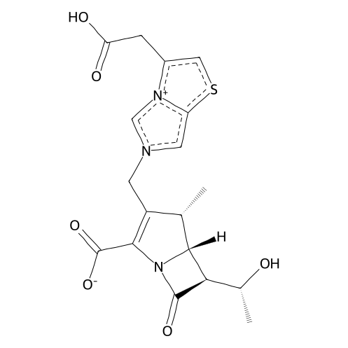 C[C@@H](O)[C@H]1C(=O)N2C(C(=O)[O-])=C(Cn3cc4scc(CC(=O)O)[n+]4c3)[C@H](C)[C@H]12